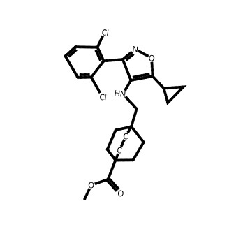 COC(=O)C12CCC(CNc3c(-c4c(Cl)cccc4Cl)noc3C3CC3)(CC1)CC2